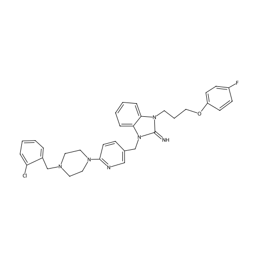 N=c1n(CCCOc2ccc(F)cc2)c2ccccc2n1Cc1ccc(N2CCN(Cc3ccccc3Cl)CC2)nc1